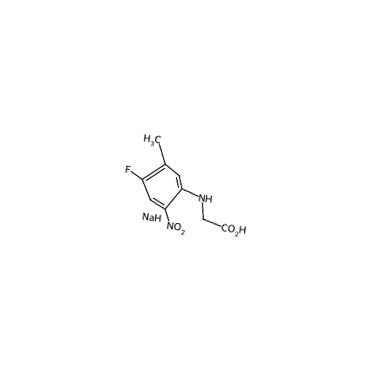 Cc1cc(NCC(=O)O)c([N+](=O)[O-])cc1F.[NaH]